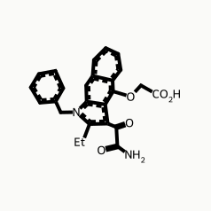 CCc1c(C(=O)C(N)=O)c2c(OCC(=O)O)c3ccccc3cc2n1Cc1ccccc1